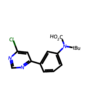 CC(C)(C)N(C(=O)O)c1cccc(-c2cc(Cl)ncn2)c1